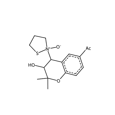 CC(=O)c1ccc2c(c1)C([N+]1([O-])CCCS1)C(O)C(C)(C)O2